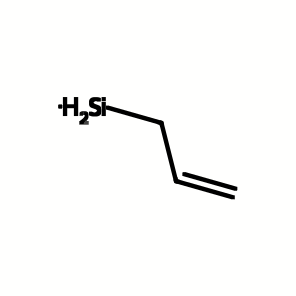 C=CC[SiH2]